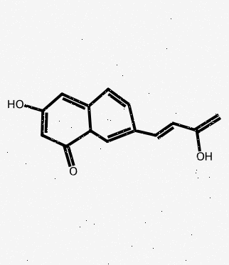 C=C(O)/C=C/C1=CC2C(=O)C=C(O)C=C2C=C1